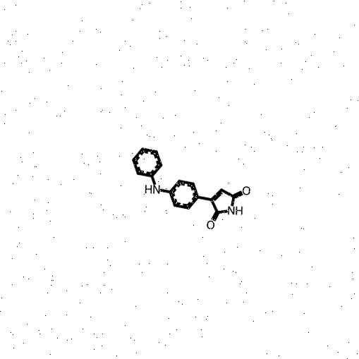 O=C1C=C(c2ccc(Nc3ccccc3)cc2)C(=O)N1